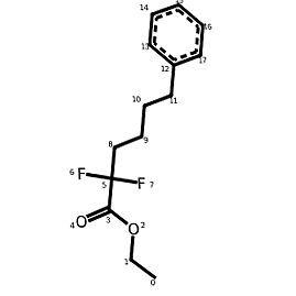 CCOC(=O)C(F)(F)CCCCc1ccccc1